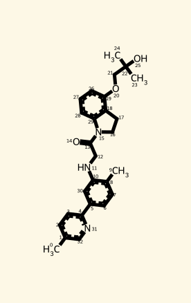 Cc1ccc(-c2ccc(C)c(NCC(=O)N3CCc4c(OCC(C)(C)O)cccc43)c2)nc1